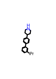 CC(C)c1cccc(-c2ccc(C3CCNCC3)cc2)c1